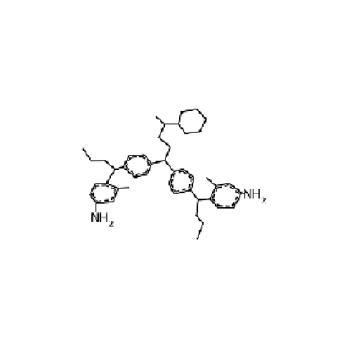 CCCC(c1ccc(C(CCC(C)C2CCCCC2)c2ccc(C(CCC)c3ccc(N)cc3C)cc2)cc1)c1ccc(N)cc1C